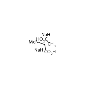 CC(=O)O.CNCC(=O)O.[NaH].[NaH]